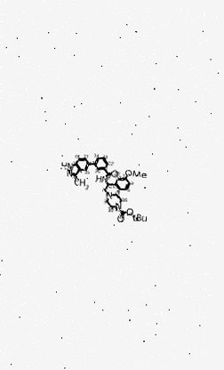 COc1cccc(C(CN2CCN(C(=O)OC(C)(C)C)CC2)NC(=O)c2cccc(-c3ccc4[nH]nc(C)c4c3)c2)c1